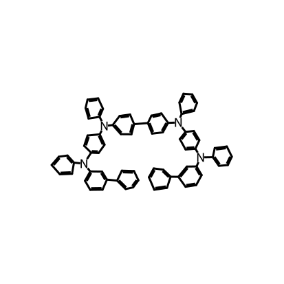 c1ccc(-c2cccc(N(c3ccccc3)c3ccc(N(c4ccccc4)c4ccc(-c5ccc(N(c6ccccc6)c6ccc(N(c7ccccc7)c7cccc(-c8ccccc8)c7)cc6)cc5)cc4)cc3)c2)cc1